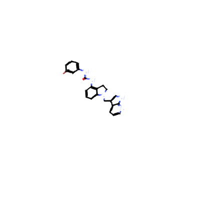 O=C(Nc1cccc(Br)c1)Nc1cccc2c1CCN2Cc1c[nH]c2ncccc12